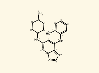 NC1CCC(Nc2cc(Nc3ccccc3O)c3nccn3n2)CC1